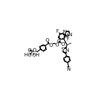 C[C@@H](c1nc(-c2ccc(C#N)cc2)cs1)[C@@](Cn1cncn1)(OC(=O)OCOC(=O)c1ccc(COP(=O)(O)O)cc1)c1ccc(F)cc1F